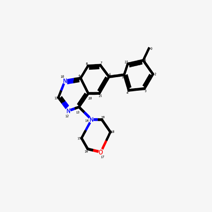 Cc1cccc(-c2ccc3ncnc(N4CCOCC4)c3c2)c1